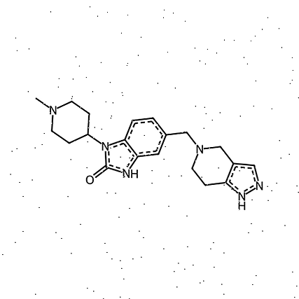 CN1CCC(n2c(=O)[nH]c3cc(CN4CCc5[nH]ncc5C4)ccc32)CC1